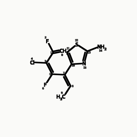 C=C(F)/C(Cl)=C(F)\C(=C/C)c1csc(N)n1